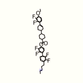 C/C=C/CCc1ccc(-c2ccc(OC(=O)C3CCC(C4CC=C(c5ccc(OCC)c(F)c5F)CC4)CC3)c(F)c2F)c(F)c1F